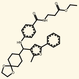 CCOC(=O)CCNC(=O)c1ccc(NC(c2cc(-c3ccccc3)oc2C)C2CCC3(CC2)OCCO3)cc1